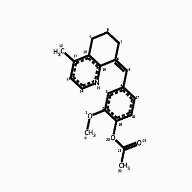 COc1cc(/C=C2/CCCc3c(C)ccnc32)ccc1OC(C)=O